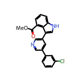 COC(=O)c1cccc2[nH]cc(-c3cncc(-c4cccc(Cl)c4)c3)c12